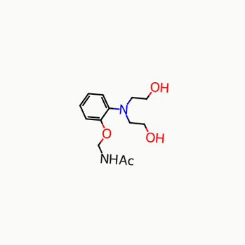 CC(=O)NCOc1ccccc1N(CCO)CCO